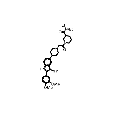 CCN(CC)C(=O)C1CCCN(C(=O)CN2CCC(c3ccc4[nH]c(-c5ccc(OC)c(OC)c5)c(C(C)C)c4c3)CC2)C1